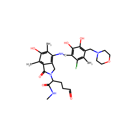 Bc1c(F)c(CNc2c(B)c(O)c(B)c3c2CN(C(CCC=O)C(=O)NC)C3=O)c(O)c(O)c1CN1CCOCC1